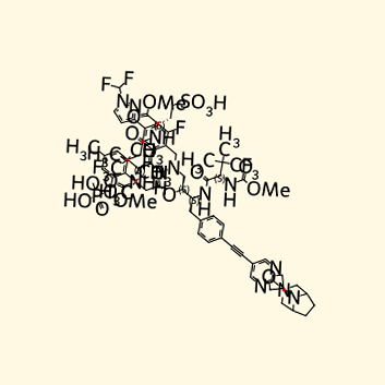 COC(=O)N[C@H](C(=O)N[C@@H](Cc1ccc(C#Cc2cnc(N3CC4CCC(C3)N4C3COC3)nc2)cc1)[C@H](CN(Cc1c(F)cc(-c2ccn(C(F)F)n2)cc1F)NC(=O)[C@@H](NC(=O)OC)C(C)(C)C(F)(F)F)OC(=O)CC(C)(C)c1c(CC(=O)N[C@@H](CCS(=O)(=O)O)C(=O)OC)cc(C)cc1OP(=O)(O)O)C(C)(C)C(F)(F)F